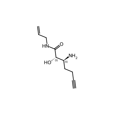 C#CCC[C@H](N)[C@H](O)C(=O)NCC=C